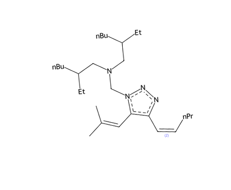 CCC/C=C\c1nnn(CN(CC(CC)CCCC)CC(CC)CCCC)c1C=C(C)C